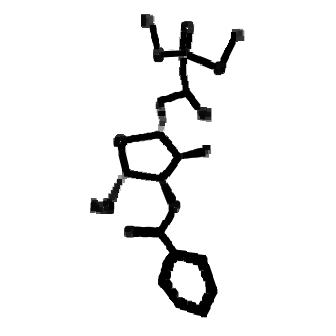 CCOP(=O)(OCC)C(S)C[C@H]1O[C@@H](OC(C)=O)[C@H](OC(=O)c2ccccc2)[C@@H]1F